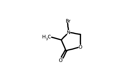 CC1C(=O)OCN1Br